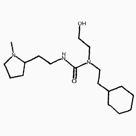 CN1CCCC1CCNC(=O)N(CCO)CCC1CCCCC1